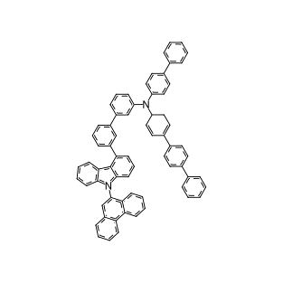 C1=CC(N(c2ccc(-c3ccccc3)cc2)c2cccc(-c3cccc(-c4cccc5c4c4ccccc4n5-c4cc5ccccc5c5ccccc45)c3)c2)CC=C1c1ccc(-c2ccccc2)cc1